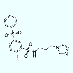 O=S(=O)(NCCCn1ccnc1)c1cc(S(=O)(=O)c2ccccc2)ccc1Cl